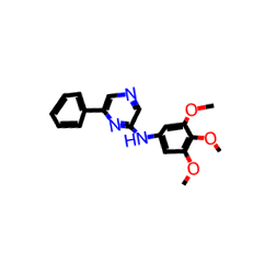 COc1cc(Nc2cncc(-c3ccccc3)n2)cc(OC)c1OC